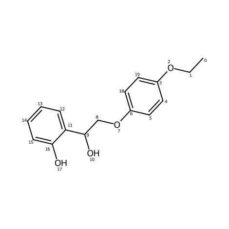 CCOc1ccc(OCC(O)c2ccccc2O)cc1